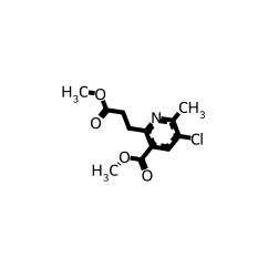 COC(=O)CCc1nc(C)c(Cl)cc1C(=O)OC